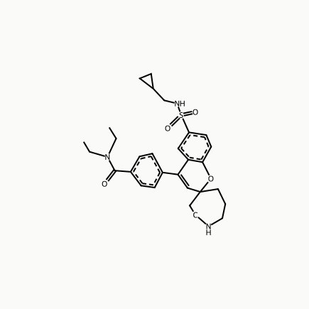 CCN(CC)C(=O)c1ccc(C2=CC3(CCCNCC3)Oc3ccc(S(=O)(=O)NCC4CC4)cc32)cc1